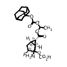 CC(OC(=O)OC12CC3CC(CC(C3)C1)C2)OC(=O)[C@H]1[C@@H]2C[C@H](F)[C@@](N)(OC(=O)O)[C@@H]21